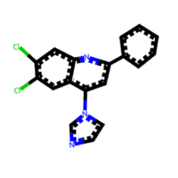 Clc1cc2nc(-c3ccccc3)cc(-n3ccnc3)c2cc1Cl